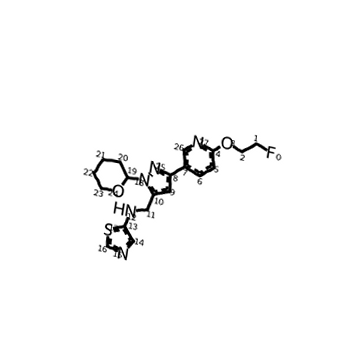 FCCOc1ccc(-c2cc(CNc3cncs3)n(C3CCCCO3)n2)cn1